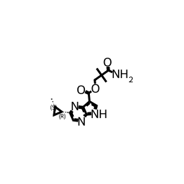 C[C@H]1C[C@H]1c1cnc2[nH]cc(C(=O)OCC(C)(C)C(N)=O)c2n1